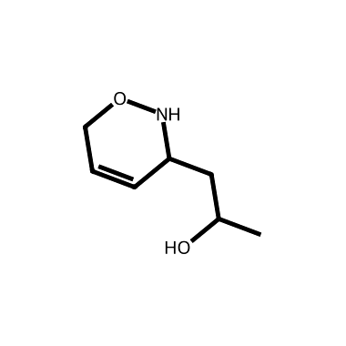 CC(O)CC1C=CCON1